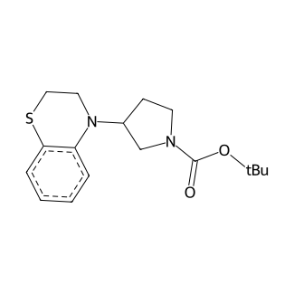 CC(C)(C)OC(=O)N1CCC(N2CCSc3ccccc32)C1